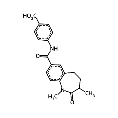 CC1CCc2cc(C(=O)Nc3ccc(C(=O)O)cc3)ccc2N(C)C1=O